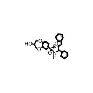 O=S(=O)(NC(c1ccccc1)c1cc2ccccc2o1)c1ccc2c(c1)OCC(O)CO2